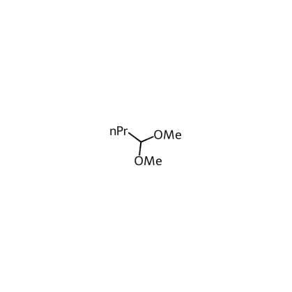 CCCC(OC)OC